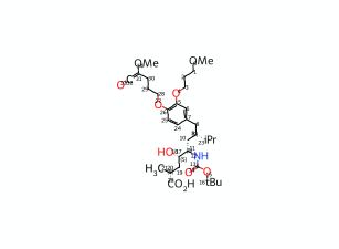 COCCCOc1cc(C[C@@H](C[C@H](NC(=O)OC(C)(C)C)[C@@H](O)C[C@@H](C)C(=O)O)C(C)C)ccc1OCCCC(=C=O)OC